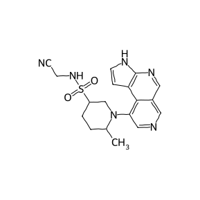 CC1CCC(S(=O)(=O)NCC#N)CN1c1cncc2cnc3[nH]ccc3c12